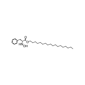 CCCCCCCCCCCCCCCCCCOC(=O)[C@H](Cc1ccccc1)NO